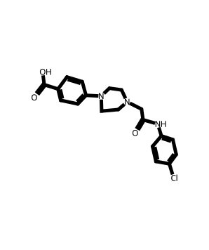 O=C(CN1CCN(c2ccc(C(=O)O)cc2)CC1)Nc1ccc(Cl)cc1